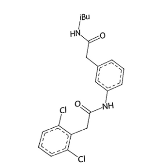 CCC(C)NC(=O)Cc1cccc(NC(=O)Cc2c(Cl)cccc2Cl)c1